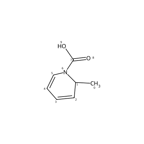 CC1C=CC=CN1C(=O)O